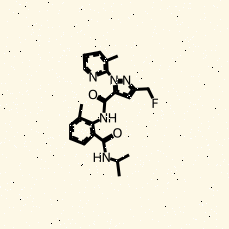 Cc1cccnc1-n1nc(CF)cc1C(=O)Nc1c(C)cccc1C(=O)NC(C)C